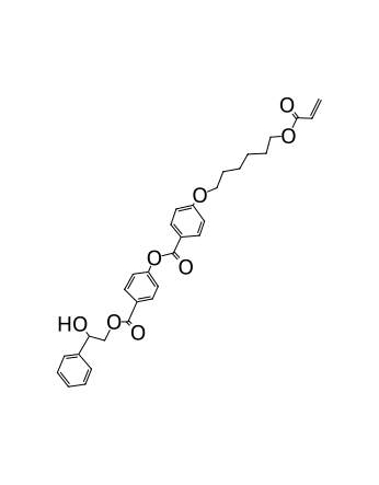 C=CC(=O)OCCCCCCOc1ccc(C(=O)Oc2ccc(C(=O)OCC(O)c3ccccc3)cc2)cc1